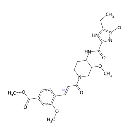 CCc1[nH]c(C(=O)NC2CCN(C(=O)/C=C/c3ccc(C(=O)OC)cc3OC)CC2OC)nc1Cl